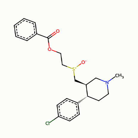 CN1CC[C@H](c2ccc(Cl)cc2)[C@@H](C[S+]([O-])CCOC(=O)c2ccccc2)C1